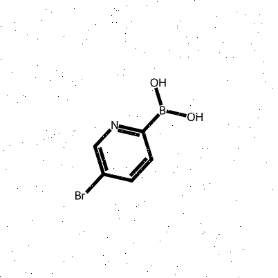 OB(O)c1ccc(Br)cn1